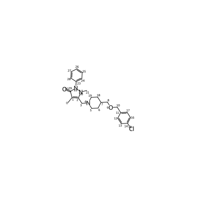 Cc1c(CN2CCC(COCc3ccc(Cl)cc3)CC2)n(C)n(-c2ccccc2)c1=O